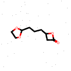 O=C1CC(CCCC2OCCO2)O1